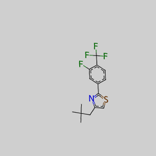 CC(C)(C)Cc1csc(-c2ccc(C(F)(F)F)c(F)c2)n1